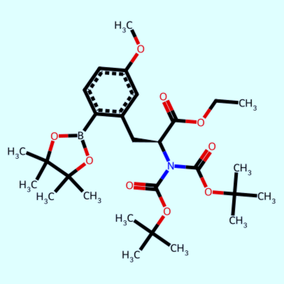 CCOC(=O)[C@H](Cc1cc(OC)ccc1B1OC(C)(C)C(C)(C)O1)N(C(=O)OC(C)(C)C)C(=O)OC(C)(C)C